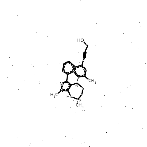 Cc1cc(C#CCO)ccc1[C@@H]1SC[C@H](C)Nc2c1c(-c1ccccn1)nn2C